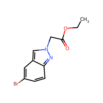 CCOC(=O)Cn1cc2cc(Br)ccc2n1